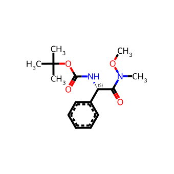 CON(C)C(=O)[C@@H](NC(=O)OC(C)(C)C)c1ccccc1